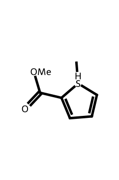 COC(=O)C1=CC=C[SH]1C